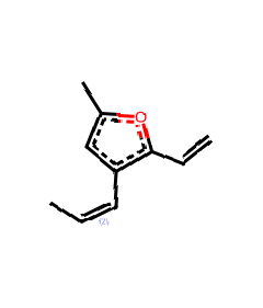 C=Cc1oc(C)cc1/C=C\C